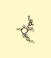 C/C(=C\c1cc(F)c2cnn(CC#N)c2c1)[C@H]1OC(=O)C[C@H](O)CC[C@H](C)C(OC(=O)N2CCN(C)CC2)/C=C/[C@@H]1C